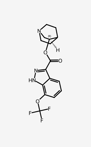 O=C(O[C@H]1CN2CCC1CC2)c1n[nH]c2c(OC(F)(F)F)cccc12